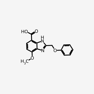 COc1ccc(C(=O)O)c2[nH]c(COc3ccccc3)nc12